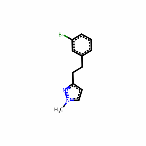 Cn1ccc(CCc2cccc(Br)c2)n1